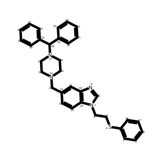 c1ccc(SCCn2cnc3cc(CN4CCN(C(c5ccccc5)c5ccccc5)CC4)ccc32)cc1